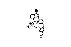 CCCCc1nc(C=O)cn1Cc1ccc(-n2cc(Br)c3cccc(C(=O)O)c32)cc1